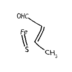 CC=CC=O.[S]=[Fe]